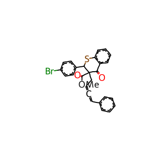 COC(=O)C1(CC=C=Cc2ccccc2)C(=O)c2ccccc2SC1c1ccc(Br)cc1